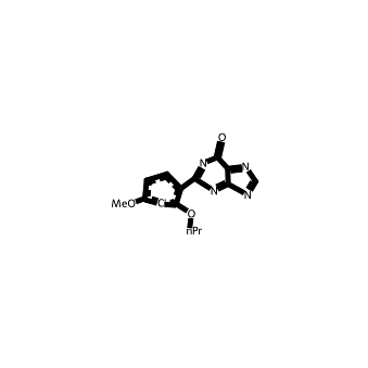 CCCOc1cc(OC)ccc1C1=NC(=O)C2=NC=NC2=N1